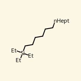 [CH2]CCCCCCCCCCCC[Si](CC)(CC)CC